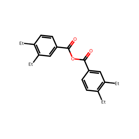 CCc1ccc(C(=O)OC(=O)c2ccc(CC)c(CC)c2)cc1CC